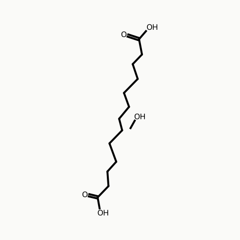 CO.O=C(O)CCCCCCCCCCCC(=O)O